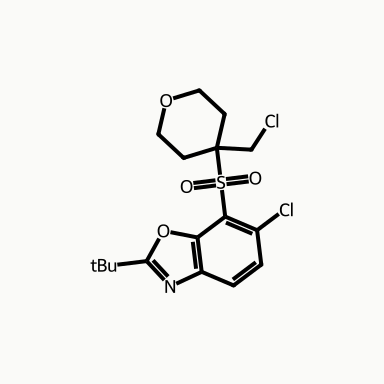 CC(C)(C)c1nc2ccc(Cl)c(S(=O)(=O)C3(CCl)CCOCC3)c2o1